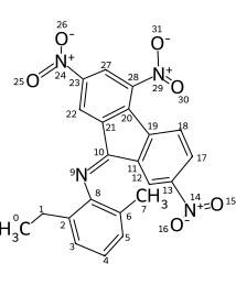 CCc1cccc(C)c1N=C1c2cc([N+](=O)[O-])ccc2-c2c1cc([N+](=O)[O-])cc2[N+](=O)[O-]